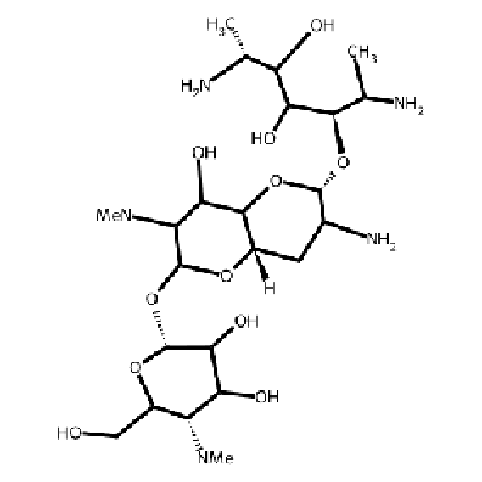 CNC1C(O[C@H]2OC(CO)[C@@H](NC)C(O)C2O)O[C@H]2CC(N)[C@@H](O[C@H](C(C)N)C(O)C(O)[C@@H](C)N)OC2C1O